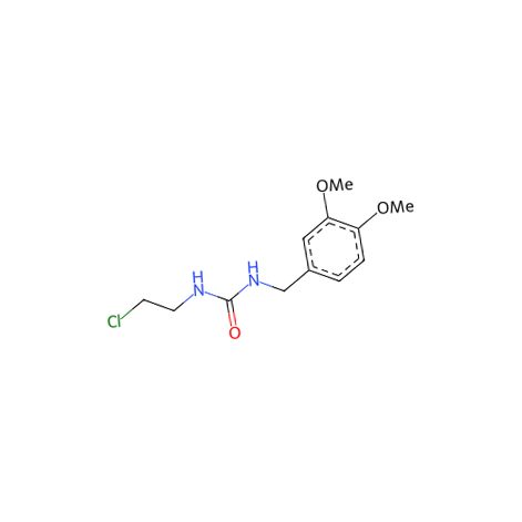 COc1ccc(CNC(=O)NCCCl)cc1OC